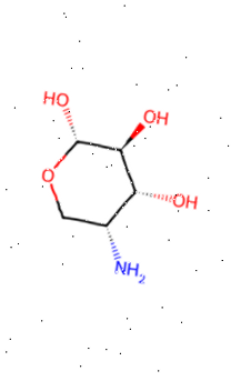 N[C@@H]1CO[C@H](O)[C@@H](O)[C@@H]1O